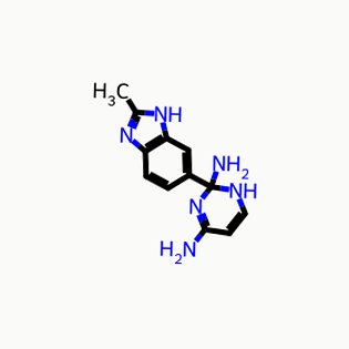 Cc1nc2ccc(C3(N)N=C(N)C=CN3)cc2[nH]1